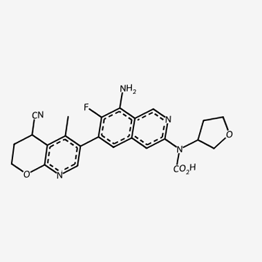 Cc1c(-c2cc3cc(N(C(=O)O)C4CCOC4)ncc3c(N)c2F)cnc2c1C(C#N)CCO2